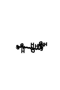 CSSCCC(=O)NCCCCCCNC(=O)CCCCC1SCC2NC(=O)NC21